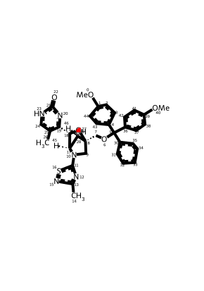 COc1ccc(C(OC[C@@]23CN(c4nc(C)ns4)[C@@H]([C@H](c4nc(=O)[nH]cc4C)O2)[C@@H]3O)(c2ccccc2)c2ccc(OC)cc2)cc1